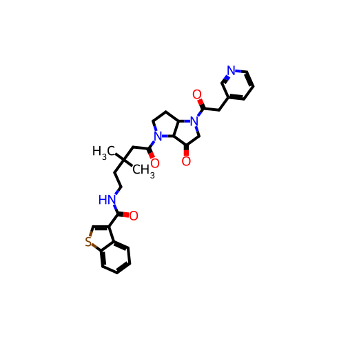 CC(C)(CCNC(=O)c1csc2ccccc12)CC(=O)N1CCC2C1C(=O)CN2C(=O)Cc1cccnc1